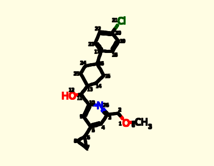 COCc1cc(C2CC2)cc(C(O)C2CCC(c3ccc(Cl)cc3)CC2)n1